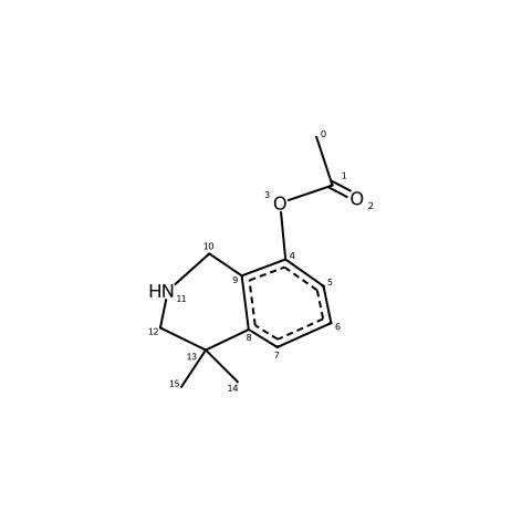 CC(=O)Oc1cccc2c1CNCC2(C)C